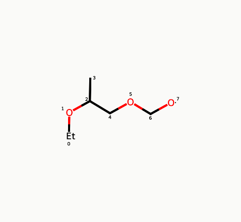 CCOC(C)COC[O]